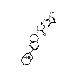 CCn1ccc2cc(C(=O)N[C@H]3COc4cc(N5CC6CCCC(C5)N6)ccc4C3)nnc21